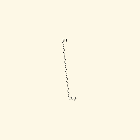 O=C(O)CCCCCCCCCCCCCCCCCCCCCCCS